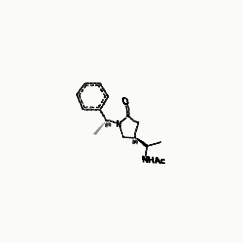 CC(=O)NC(C)[C@@H]1CC(=O)N([C@H](C)c2ccccc2)C1